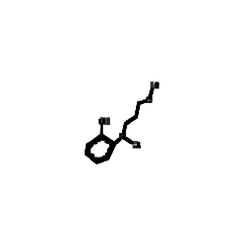 CCOCCCN(CC)c1ccccc1O